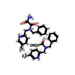 CCOC(=O)C(=O)N(Cc1ccccc1)Cc1ccc(C(F)(F)F)cn1.NC(=O)C(=O)N(Cc1ccccc1)Cc1ccc(C(F)(F)F)cn1